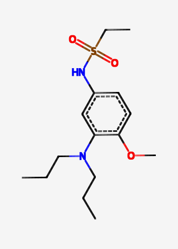 CCCN(CCC)c1cc(NS(=O)(=O)CC)ccc1OC